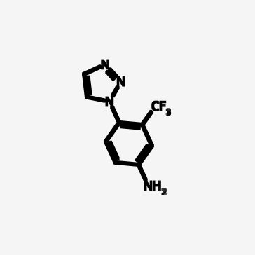 Nc1ccc(-n2ccnn2)c(C(F)(F)F)c1